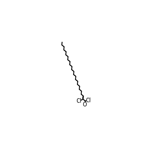 CCCCCCCCCCCCCCCCCCCCCC/C=C(\Cl)C(=O)Cl